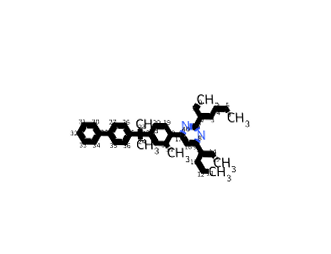 C=C/C(=C\C=C/C)c1nc(C(/C=C\C)=C/C)cc(C2C=CC(C(C)(C)c3ccc(-c4ccccc4)cc3)=CC2C)n1